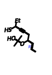 C/C=C/C(CC#CC(S)CC)OC(C)(C)O